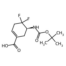 CC(C)(C)OC(=O)N[C@H]1CC(C(=O)O)=CCC1(F)F